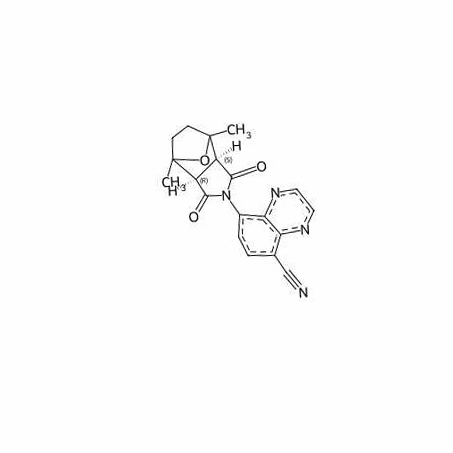 CC12CCC(C)(O1)[C@H]1C(=O)N(c3ccc(C#N)c4nccnc34)C(=O)[C@H]12